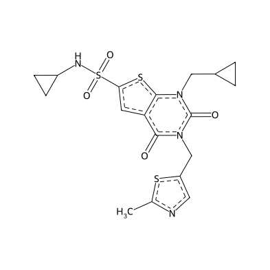 Cc1ncc(Cn2c(=O)c3cc(S(=O)(=O)NC4CC4)sc3n(CC3CC3)c2=O)s1